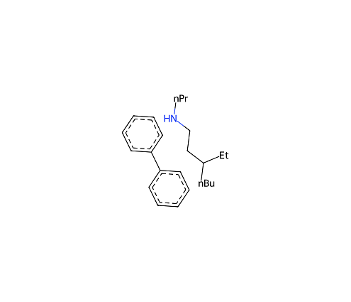 CCCCC(CC)CCNCCC.c1ccc(-c2ccccc2)cc1